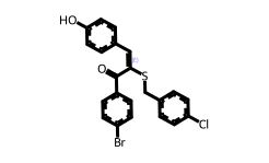 O=C(/C(=C\c1ccc(O)cc1)SCc1ccc(Cl)cc1)c1ccc(Br)cc1